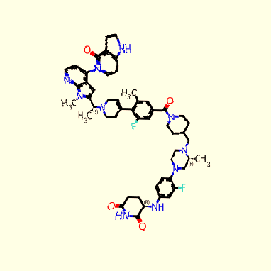 Cc1cc(C(=O)N2CCC(CN3CCN(c4ccc(N[C@@H]5CCC(=O)NC5=O)cc4F)C[C@H]3C)CC2)cc(F)c1C1=CCN([C@@H](C)c2cc3c(-n4ccc5c(c4=O)CCN5)ccnc3n2C)CC1